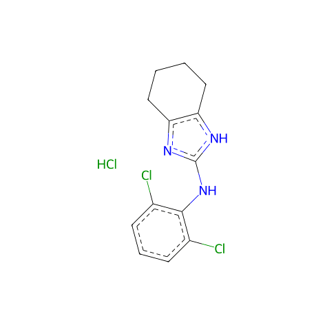 Cl.Clc1cccc(Cl)c1Nc1nc2c([nH]1)CCCC2